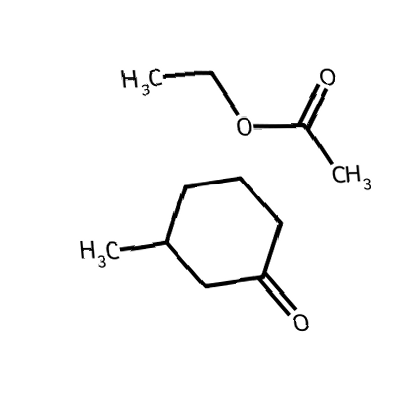 CC1CCCC(=O)C1.CCOC(C)=O